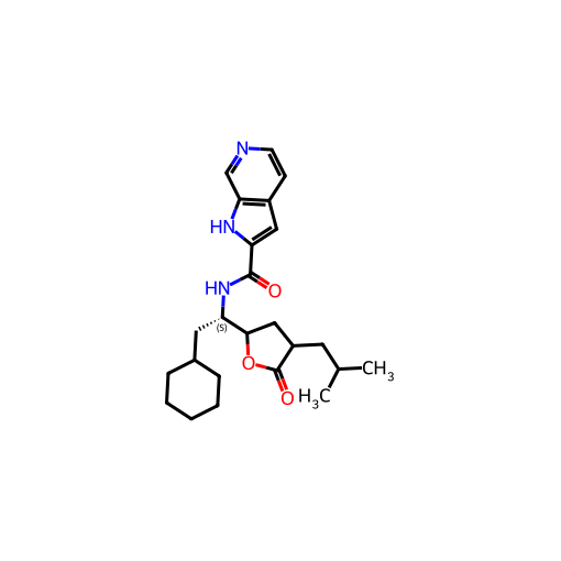 CC(C)CC1CC([C@H](CC2CCCCC2)NC(=O)c2cc3ccncc3[nH]2)OC1=O